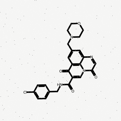 O=C(NCc1ccc(Cl)cc1)c1cn2c(=O)cnc3cc(CN4CCOCC4)cc(c1=O)c32